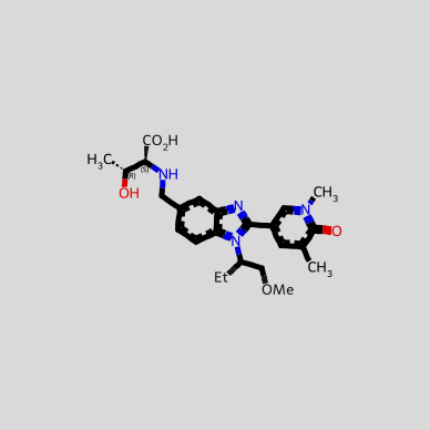 CCC(COC)n1c(-c2cc(C)c(=O)n(C)c2)nc2cc(CN[C@H](C(=O)O)[C@@H](C)O)ccc21